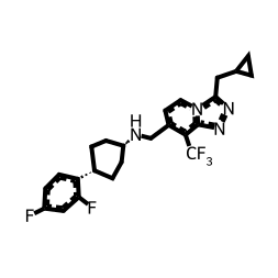 Fc1ccc([C@H]2CC[C@@H](NCc3ccn4c(CC5CC5)nnc4c3C(F)(F)F)CC2)c(F)c1